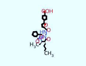 CCCCC[C@@H](C(=O)NCNC(=O)c1ccc(-c2ccc(C(=O)O)cc2)o1)[C@@H](CC)N(C=O)OCc1ccccc1